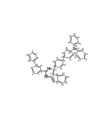 c1ccc(-c2cccc(-c3nc(-c4ccc(-c5ccc6c(c5)c5ccccc5n6-c5ccccc5)cc4)c4c(n3)sc3ccccc34)c2)cc1